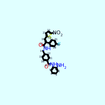 Nc1ccccc1NC(=O)c1ccc(CNC(=O)C(=Cc2ccc([N+](=O)[O-])s2)c2ccc(F)cc2)cc1